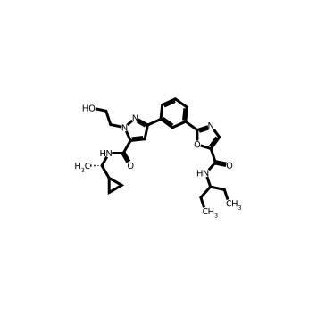 CCC(CC)NC(=O)c1cnc(-c2cccc(-c3cc(C(=O)N[C@@H](C)C4CC4)n(CCO)n3)c2)o1